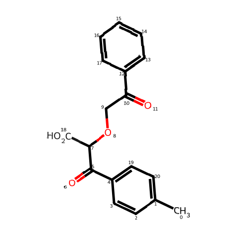 Cc1ccc(C(=O)C(OCC(=O)c2ccccc2)C(=O)O)cc1